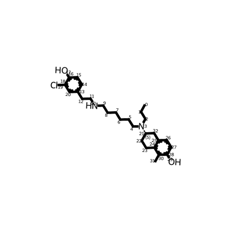 CCCN(CCCCCCNCCc1ccc(O)c(Cl)c1)[C@H]1CCc2c(ccc(O)c2C)C1